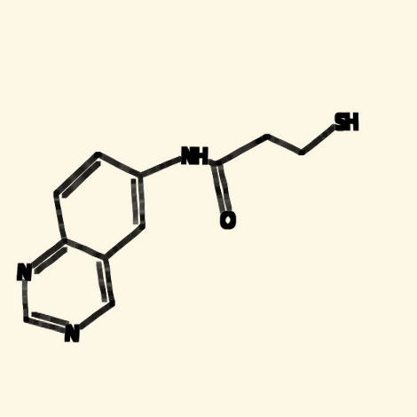 O=C(CCS)Nc1ccc2ncncc2c1